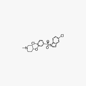 CN1CCC(Oc2cc(S(=O)(=O)n3ccc4cc(Cl)ccc43)ccc2Cl)CC1